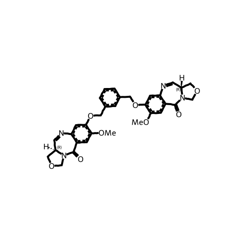 COc1cc2c(cc1OCc1cccc(COc3cc4c(cc3OC)C(=O)N3COC[C@H]3C=N4)c1)N=C[C@@H]1COCN1C2=O